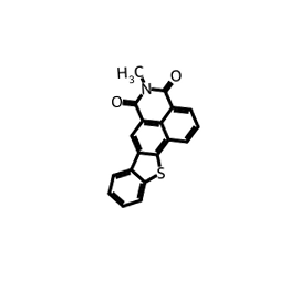 CN1C(=O)c2cccc3c2c(cc2c4ccccc4sc32)C1=O